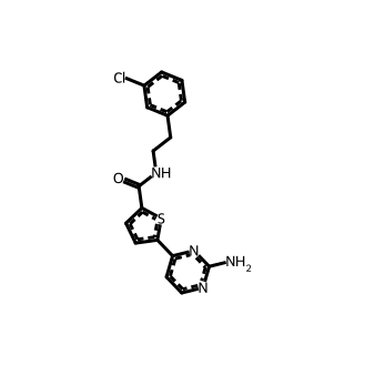 Nc1nccc(-c2ccc(C(=O)NCCc3cccc(Cl)c3)s2)n1